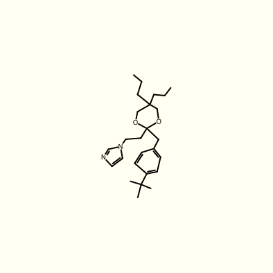 CCCC1(CCC)COC(CCn2ccnc2)(Cc2ccc(C(C)(C)C)cc2)OC1